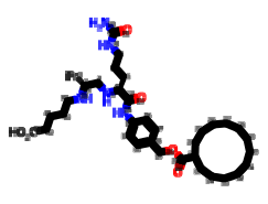 CC(C)[C@@H](CN[C@@H](CCCNC(N)=O)C(=O)Nc1ccc(COC(=O)C2CCCCCCCCCCCC2)cc1)NCCCCC(=O)O